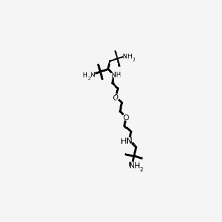 CC(C)(N)CNCCOCCOCCNC(CC(C)(C)N)C(C)(C)N